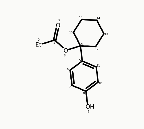 CCC(=O)OC1(c2ccc(O)cc2)CCCCC1